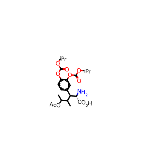 CC(=O)OC(C)C(C)C(c1ccc(OC(=O)OC(C)C)c(OC(=O)OC(C)C)c1)[C@H](N)C(=O)O